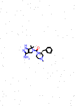 CN1CCN(C(=O)N2Cc3c(N)n[nH]c3C2(C)C)[C@@H](Cc2ccccc2)C1